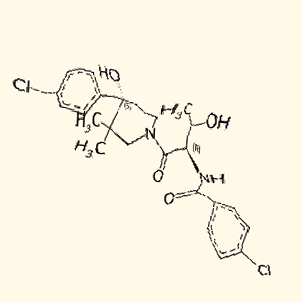 CC(O)[C@@H](NC(=O)c1ccc(Cl)cc1)C(=O)N1CC[C@](O)(c2ccc(Cl)cc2)C(C)(C)C1